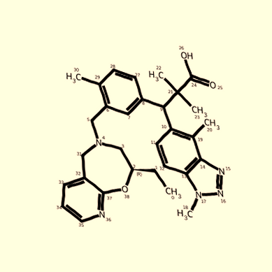 CC[C@@H]1CN(Cc2cc(C(c3ccc4c(nnn4C)c3C)C(C)(C)C(=O)O)ccc2C)Cc2cccnc2O1